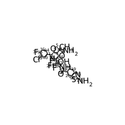 C[C@]1(C(N)=O)COc2c1cc([C@@](O)(CNC(=O)c1ccc3nc(N)sc3c1)C(F)(F)F)nc2-c1ccc(F)c(Cl)c1